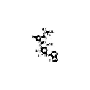 CC(C)(C)OC(=O)N1CC(=O)C[C@@H]1C(=O)N[C@@H]1[C@@H](O)[C@H](O)[C@@H](Nc2ncnc3nc[nH]c23)O[C@H]1CO